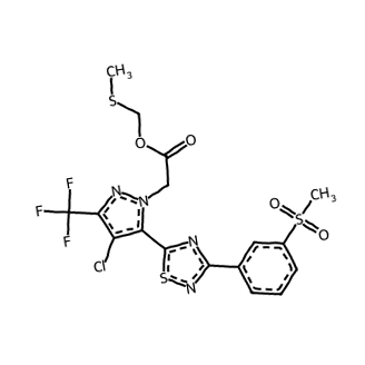 CSCOC(=O)Cn1nc(C(F)(F)F)c(Cl)c1-c1nc(-c2cccc(S(C)(=O)=O)c2)ns1